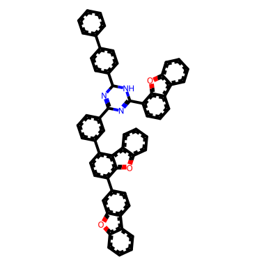 c1ccc(-c2ccc(C3N=C(c4cccc(-c5ccc(-c6ccc7c(c6)oc6ccccc67)c6oc7ccccc7c56)c4)N=C(c4cccc5c4oc4ccccc45)N3)cc2)cc1